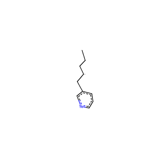 CCC[CH]Cc1cccnc1